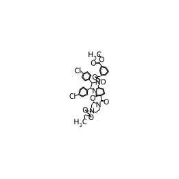 CCS(=O)(=O)N1CCN(C(=O)c2ccc3n(c2=O)C(c2ccc(Cl)cc2)C(c2ccc(Cl)cc2)N3S(=O)(=O)c2cccc(C(=O)OC)c2)CC1